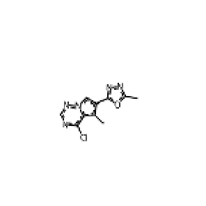 Cc1nnc(-c2cn3ncnc(Cl)c3c2C)o1